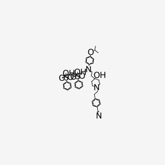 CC(C)Oc1ccc(N(C)CCC2(O)CCN(CCc3ccc(C#N)cc3)CC2)cc1.O=S(=O)(O)c1ccccc1.O=S(=O)(O)c1ccccc1